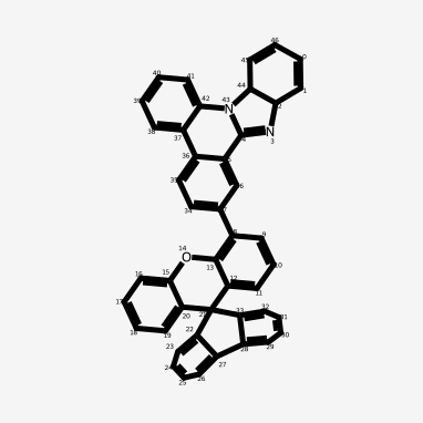 C1=CC2N=C3c4cc(-c5cccc6c5Oc5ccccc5C65c6ccccc6-c6ccccc65)ccc4-c4ccccc4N3C2C=C1